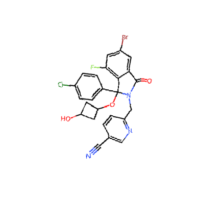 N#Cc1ccc(CN2C(=O)c3cc(Br)cc(F)c3C2(OC2CC(O)C2)c2ccc(Cl)cc2)nc1